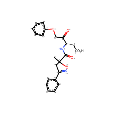 CC1(C(=O)N[C@@H](CC(=O)O)C(=O)COc2ccccc2)CC(c2ccccc2)=NO1